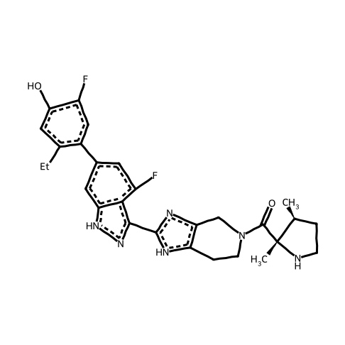 CCc1cc(O)c(F)cc1-c1cc(F)c2c(-c3nc4c([nH]3)CCN(C(=O)[C@@]3(C)NCC[C@@H]3C)C4)n[nH]c2c1